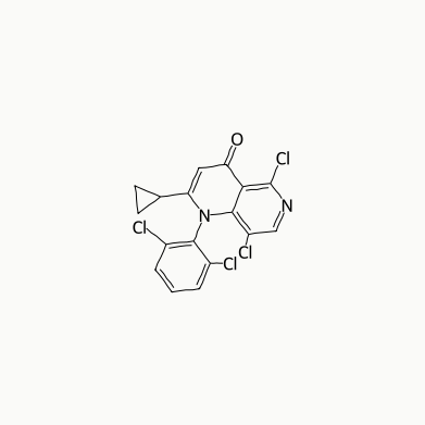 O=c1cc(C2CC2)n(-c2c(Cl)cccc2Cl)c2c(Cl)cnc(Cl)c12